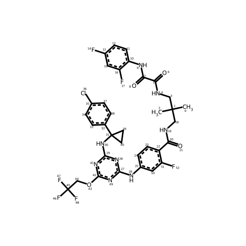 CC(C)(CNC(=O)C(=O)Nc1ccc(F)cc1F)CNC(=O)c1ccc(Nc2nc(NC3(c4ccc(Cl)cc4)CC3)nc(OCC(F)(F)F)n2)cc1F